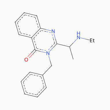 CCNC(C)c1nc2ccccc2c(=O)n1Cc1ccccc1